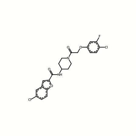 O=C(NC1CCN(C(=O)COc2ccc(Cl)c(F)c2)CC1)c1cc2cc(Cl)ccc2o1